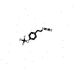 [N-]=[N+]=NCCc1ccc(OC(F)(F)F)cc1